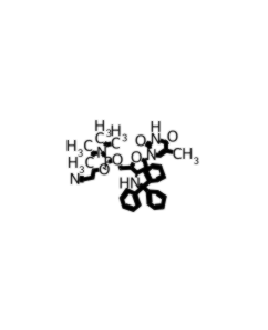 Cc1cn([C@H]2C[C@@H](NC(c3ccccc3)(c3ccccc3)c3ccccc3)C(COP(OCCC#N)N(C(C)C)C(C)C)O2)c(=O)[nH]c1=O